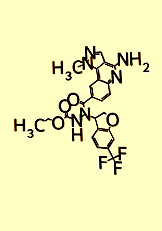 CCOC(=O)NN(C(=O)c1ccc2nc(N)c3cnn(C)c3c2c1)C1COc2cc(C(F)(F)F)ccc21